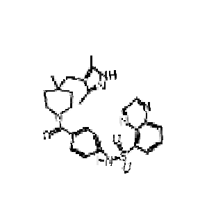 Cc1n[nH]c(C)c1CC1(C)CCN(C(=O)c2ccc(NS(=O)(=O)c3cccc4nccnc34)cc2)CC1